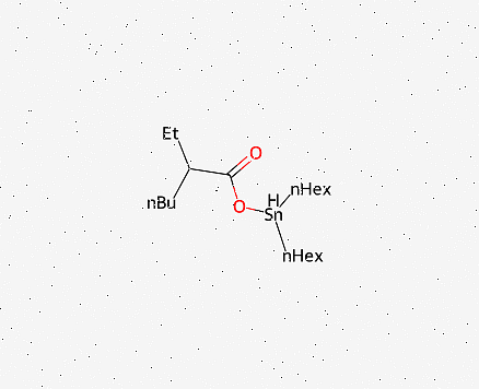 CCCCC[CH2][SnH]([CH2]CCCCC)[O]C(=O)C(CC)CCCC